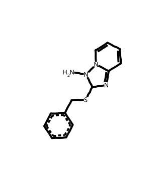 NN1C(SCc2ccccc2)N=C2C=CC=CN21